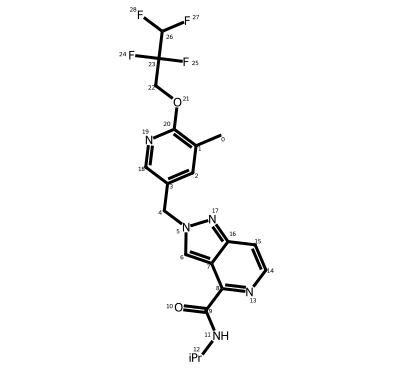 Cc1cc(Cn2cc3c(C(=O)NC(C)C)nccc3n2)cnc1OCC(F)(F)C(F)F